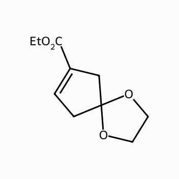 CCOC(=O)C1=CCC2(C1)OCCO2